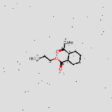 COC(=O)C1CCCCC1C(=O)OCCS(=O)(=O)O